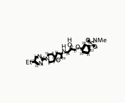 CCc1cnc(N2CCC3(CC2)CC(NC[C@H](O)COc2cccc(S(=O)(=O)NC)c2)CO3)nc1